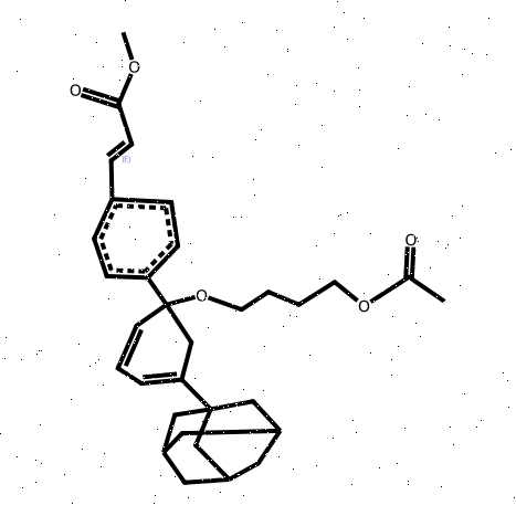 COC(=O)/C=C/c1ccc(C2(OCCCCOC(C)=O)C=CC=C(C34CC5CC(CC(C5)C3)C4)C2)cc1